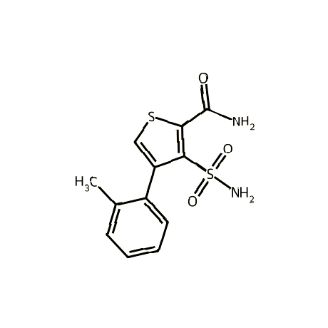 Cc1ccccc1-c1csc(C(N)=O)c1S(N)(=O)=O